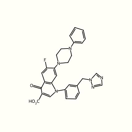 O=C(O)c1cn(-c2cccc(Cn3cncn3)c2)c2cc(N3CCN(c4ccccc4)CC3)c(F)cc2c1=O